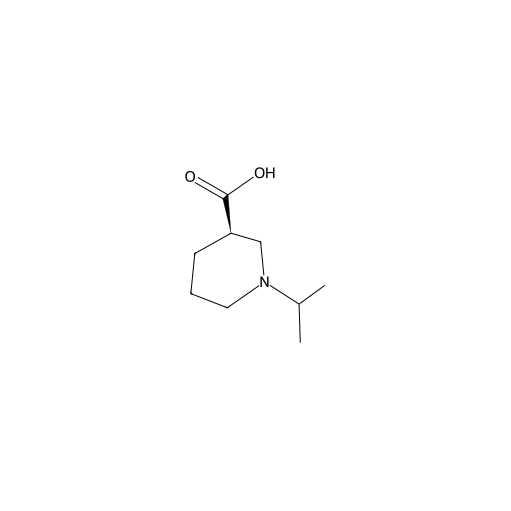 CC(C)N1CCC[C@@H](C(=O)O)C1